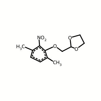 Cc1ccc(C)c([N+](=O)[O-])c1OCC1OCCO1